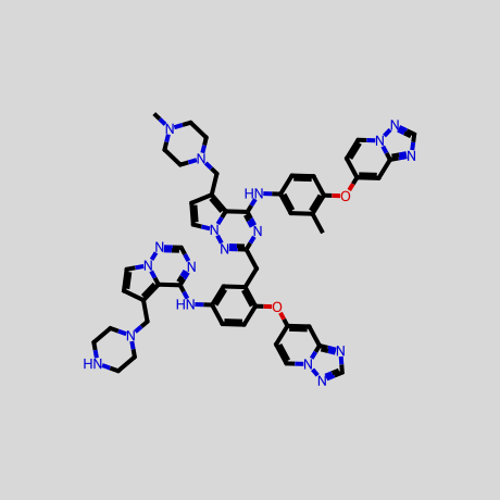 Cc1cc(Nc2nc(Cc3cc(Nc4ncnn5ccc(CN6CCNCC6)c45)ccc3Oc3ccn4ncnc4c3)nn3ccc(CN4CCN(C)CC4)c23)ccc1Oc1ccn2ncnc2c1